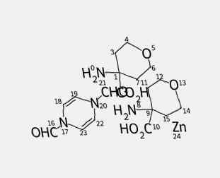 NC1(C(=O)O)CCOCC1.NC1(C(=O)O)CCOCC1.O=CN1C=CN(C=O)C=C1.[Zn]